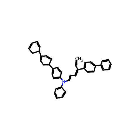 C=C/C(=C\C=C\N(c1ccccc1)c1ccc(C2C=CC(C3C=CC=CC3)=CC2)cc1)c1ccc(-c2ccccc2)cc1